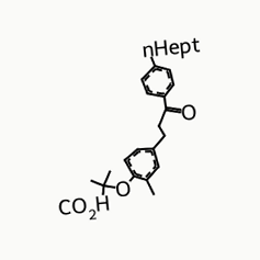 CCCCCCCc1ccc(C(=O)CCc2ccc(OC(C)(C)C(=O)O)c(C)c2)cc1